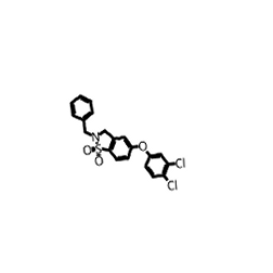 O=S1(=O)c2ccc(Oc3ccc(Cl)c(Cl)c3)cc2CN1Cc1ccccc1